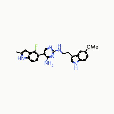 COc1ccc2[nH]cc(CCNc3ncc(-c4ccc5[nH]c(C)cc5c4F)c(N)n3)c2c1